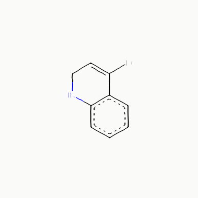 CCC1=CCNc2ccccc21